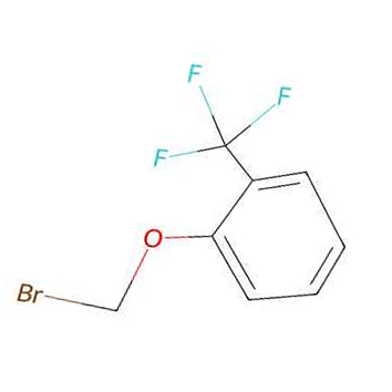 FC(F)(F)c1ccccc1OCBr